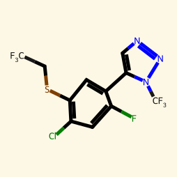 Fc1cc(Cl)c(SCC(F)(F)F)cc1-c1cnnn1C(F)(F)F